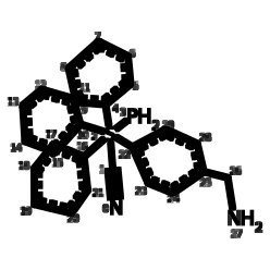 N#CS(P)(c1ccccc1)(c1ccccc1)(c1ccccc1)c1ccc(CN)cc1